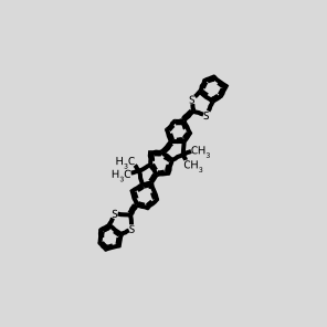 CC1(C)c2cc(=C3Sc4ccccc4S3)ccc2=c2cc3c(cc21)=c1ccc(=C2Sc4ccccc4S2)cc1C3(C)C